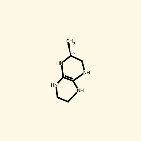 C[C@H]1CNC2=C(NCCN2)N1